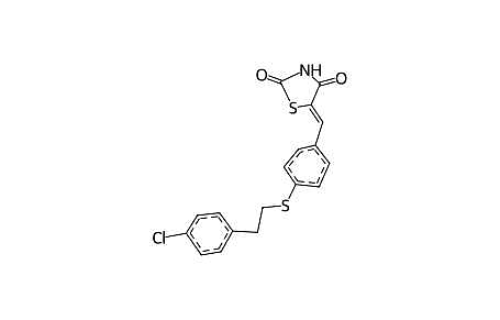 O=C1NC(=O)/C(=C/c2ccc(SCCc3ccc(Cl)cc3)cc2)S1